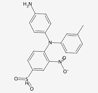 Cc1cccc(N(c2ccc(N)cc2)c2ccc([SH](=O)=O)cc2[N+](=O)[O-])c1